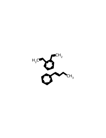 C=Cc1ccccc1C=C.CCC=Cc1ccccc1